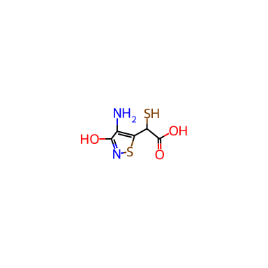 Nc1c(O)nsc1C(S)C(=O)O